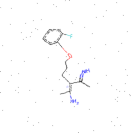 CC(=N)/C(CCCOc1ccccc1F)=C(/C)N